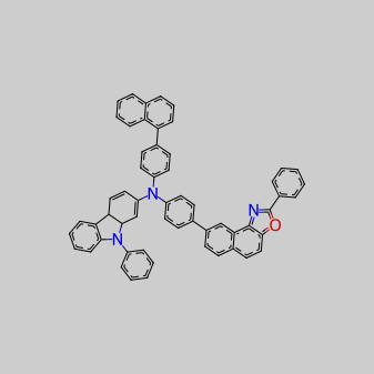 C1=CC2c3ccccc3N(c3ccccc3)C2C=C1N(c1ccc(-c2ccc3ccc4oc(-c5ccccc5)nc4c3c2)cc1)c1ccc(-c2cccc3ccccc23)cc1